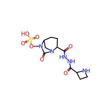 O=C(NNC(=O)C1CCC2CN1C(=O)N2OS(=O)(=O)O)C1CCN1